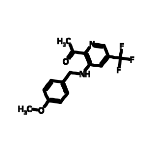 COc1ccc(CNc2cc(C(F)(F)F)cnc2C(C)=O)cc1